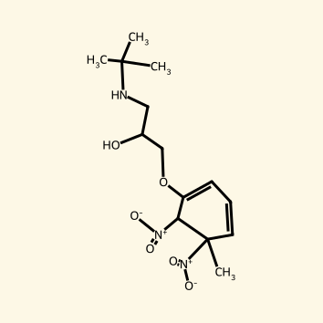 CC(C)(C)NCC(O)COC1=CC=CC(C)([N+](=O)[O-])C1[N+](=O)[O-]